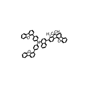 CC1(C)c2cc(-c3ccc(N(c4ccc(-c5cccc6c5oc5ccccc56)cc4)c4ccc(-c5cccc6c5oc5ccccc56)cc4)c4ccccc34)ccc2-c2c1ccc1c2oc2ccccc21